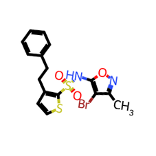 Cc1noc(NS(=O)(=O)c2sccc2CCc2ccccc2)c1Br